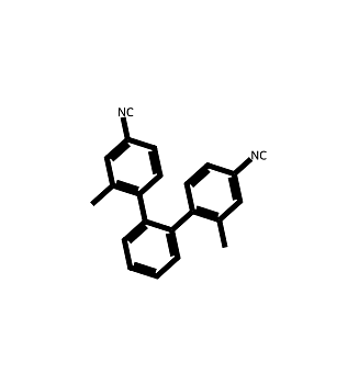 [C-]#[N+]c1ccc(-c2ccccc2-c2ccc([N+]#[C-])cc2C)c(C)c1